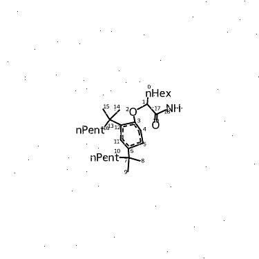 CCCCCCC(Oc1ccc(C(C)(C)CCCCC)cc1C(C)(C)CCCCC)C([NH])=O